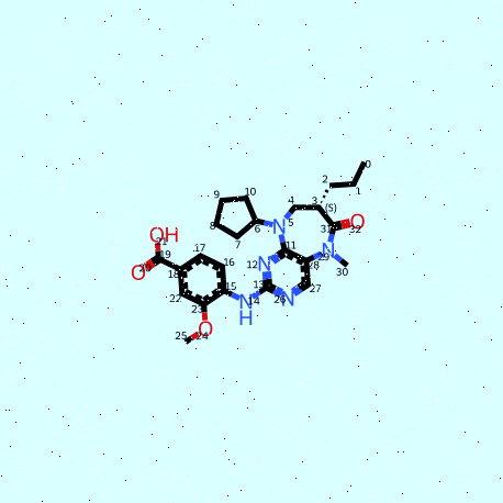 CCC[C@H]1CN(C2CCCC2)c2nc(Nc3ccc(C(=O)O)cc3OC)ncc2N(C)C1=O